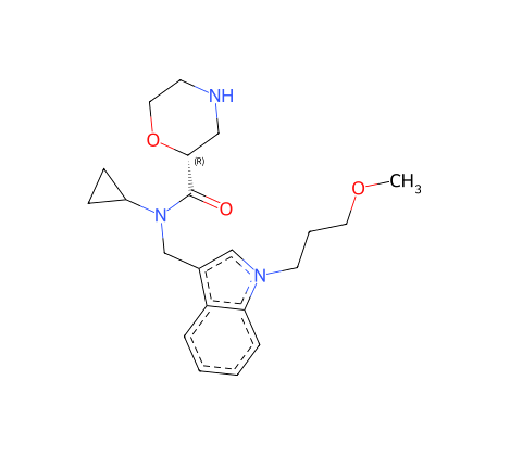 COCCCn1cc(CN(C(=O)[C@H]2CNCCO2)C2CC2)c2ccccc21